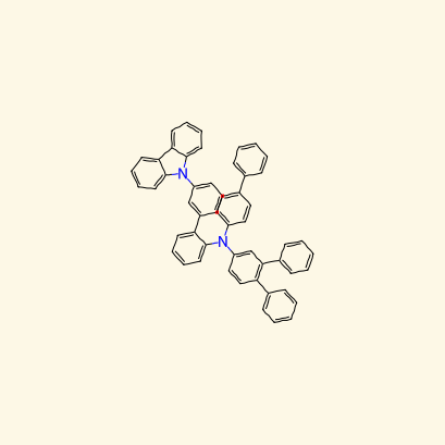 c1ccc(-c2ccc(N(c3ccc(-c4ccccc4)c(-c4ccccc4)c3)c3ccccc3-c3cccc(-n4c5ccccc5c5ccccc54)c3)cc2)cc1